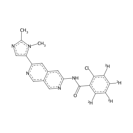 [2H]c1c([2H])c([2H])c(C(=O)Nc2cc3cc(-c4cnc(C)n4C)ncc3cn2)c(Cl)c1[2H]